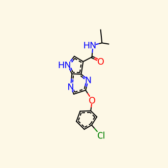 CC(C)NC(=O)c1c[nH]c2ncc(Oc3cccc(Cl)c3)nc12